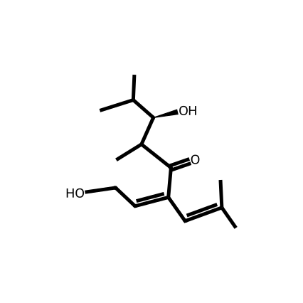 CC(C)=CC(=CCO)C(=O)C(C)[C@H](O)C(C)C